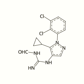 N=C(NC=O)Nc1cnn(-c2cccc(Cl)c2Cl)c1C1CC1